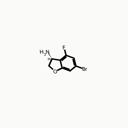 N[C@H]1COc2cc(Br)cc(F)c21